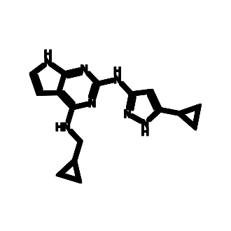 c1cc2c(NCC3CC3)nc(Nc3cc(C4CC4)[nH]n3)nc2[nH]1